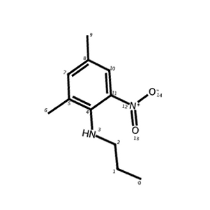 CCCNc1c(C)cc(C)cc1[N+](=O)[O-]